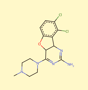 CN1CCN(C2=NC(N)=NC3c4c(ccc(Cl)c4Cl)OC23)CC1